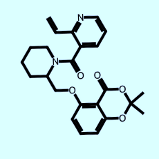 C=Cc1ncccc1C(=O)N1CCCCC1COc1cccc2c1C(=O)OC(C)(C)O2